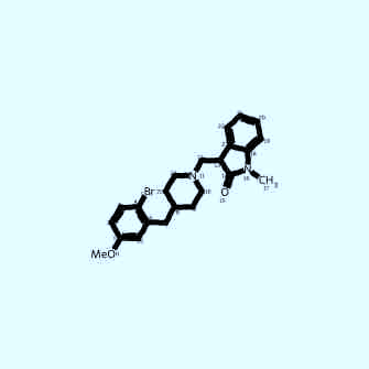 COc1ccc(Br)c(CC2CCN(CC3C(=O)N(C)c4ccccc43)CC2)c1